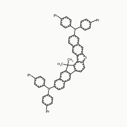 CC(C)c1ccc(N(c2ccc(C(C)C)cc2)c2ccc3cc4c(cc3c2)C(C)(C)c2c-4ccc3sc4cc5cc(N(c6ccc(C(C)C)cc6)c6ccc(C(C)C)cc6)ccc5cc4c23)cc1